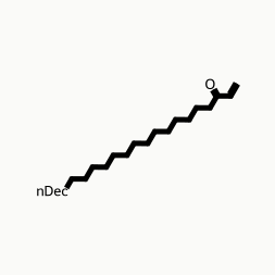 C=CC(=O)CCCCCCCCCCCCCCCCCCCCCCCC